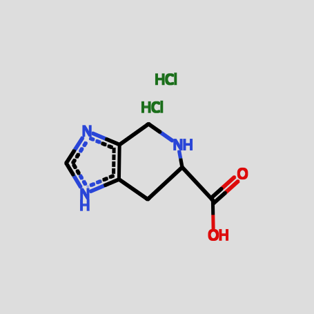 Cl.Cl.O=C(O)C1Cc2[nH]cnc2CN1